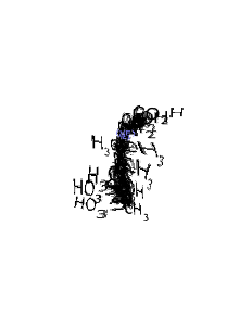 C=C\C=C/C(=C\C=N\N(N=C)c1ccc(O)c(C(=O)O)c1)N=Nc1c(C)cc(N=Nc2cc(C)c(N=Nc3c(S(=O)(=O)O)cc4c(S(=O)(=O)O)c(C)ccc4c3O)cc2C)cc1C